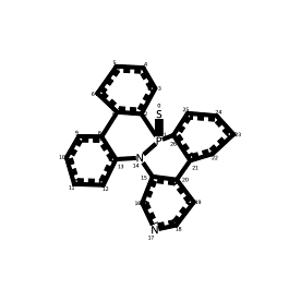 S=P12c3ccccc3-c3ccccc3N1c1cnccc1-c1ccccc12